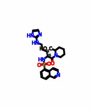 O=C(O)C1CCCCN1C(=O)[C@H](CCCNc1ncc[nH]1)NS(=O)(=O)c1cccc2cnccc12